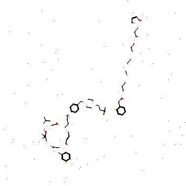 COc1ccc(C[C@H]2NC(=O)/C=C/C[C@@H]([C@H](C)[C@H]3O[C@@H]3c3ccc(CN4CCN(CCC(C)(C)SSc5ccccc5CC(=O)NCCCOCCOCCOCCCNC(=O)CCN5C(=O)C=CC5=O)CC4)cc3)OC(=O)[C@H](CC(C)C)NC(=O)C(C)(C)CNC2=O)cc1Cl